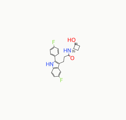 O=C(CCc1c(-c2ccc(F)cc2)[nH]c2ccc(F)cc12)N[C@H]1CC[C@H]1O